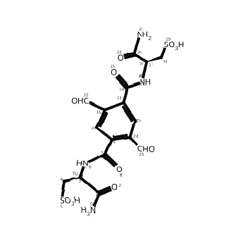 NC(=O)[C@@H](CS(=O)(=O)O)NC(=O)c1cc(C=O)c(C(=O)N[C@H](CS(=O)(=O)O)C(N)=O)cc1C=O